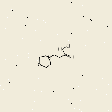 N=S(CCN1CCOCC1)NCl